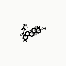 CC1(C)CC[C@]2(C(=O)N3CC(N)C3)CC[C@]3(C)C(=C2C1)CC[C@@H]1[C@@]2(C)CC[C@H](O)C(C)(C)[C@@H]2CC[C@]13C